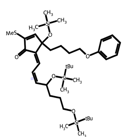 CSC1=CC(CCCCOc2ccccc2)(O[Si](C)(C)C)C(=C/C=C\C(CCCO[Si](C)(C)C(C)(C)C)O[Si](C)(C)C(C)(C)C)C1=O